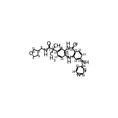 CC(C)(C(=O)NCC1CCOC1)c1ccc2c(c1)NC(=O)c1ccc(Nc3ccncn3)cc1N2